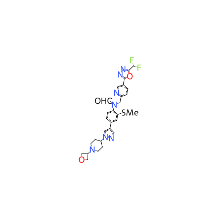 CSc1cc(-c2cnn(C3CCN(C4COC4)CC3)c2)ccc1N(C=O)Cc1ccc(-c2nnc(C(F)F)o2)cn1